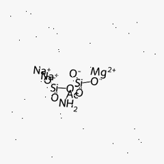 CC(N)=O.O=[Si]([O-])[O-].O=[Si]([O-])[O-].[Mg+2].[Na+].[Na+]